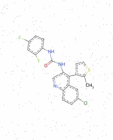 Cc1sccc1-c1c(NC(=O)Nc2ccc(F)cc2F)cnc2ccc(Cl)cc12